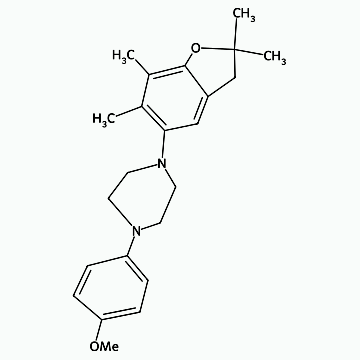 COc1ccc(N2CCN(c3cc4c(c(C)c3C)OC(C)(C)C4)CC2)cc1